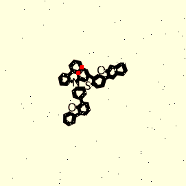 c1ccc(-c2ccccc2N(c2ccc(-c3cccc4c3oc3ccccc34)cc2)c2cccc3c2sc2ccc4c5cc6ccccc6cc5oc4c23)cc1